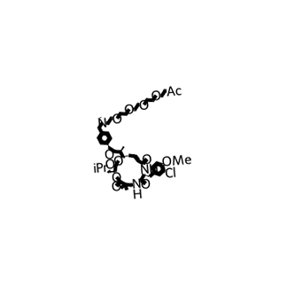 COc1ccc(C[C@H]2NC(=O)/C=C/C[C@@H]([C@H](C)[C@H]3O[C@@H]3c3ccc(CN(C)CCOCCOCCOCCOCCC(C)=O)cc3)OC(=O)[C@H](CC(C)C)OC(=O)C(C)(C)CNC2=O)cc1Cl